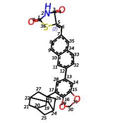 O=C1NC(=O)/C(=C/c2ccc3cc(-c4cc5c(c(C67CC8CC(CC(C8)C6)C7)c4)OCO5)ccc3c2)S1